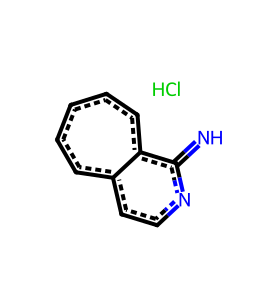 Cl.N=c1nccc2cccccc1-2